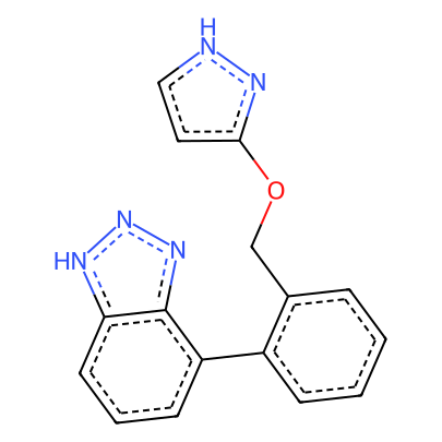 c1ccc(-c2cccc3[nH]nnc23)c(COc2cc[nH]n2)c1